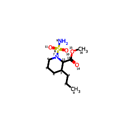 CCCC1CCCN(S(N)(=O)=O)C1C(=O)OC